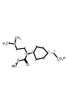 CN(C)CCN(C(=O)OC(C)(C)C)[C@H]1CC[C@H](CC(=O)O)CC1